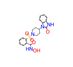 O=C(NO)c1ccccc1S(=O)(=O)N1CCC(n2c(=O)[nH]c3ccccc32)CC1